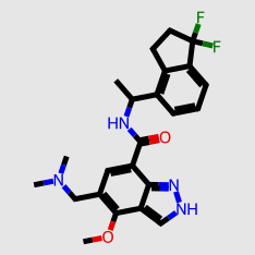 COc1c(CN(C)C)cc(C(=O)NC(C)c2cccc3c2CCC3(F)F)c2n[nH]cc12